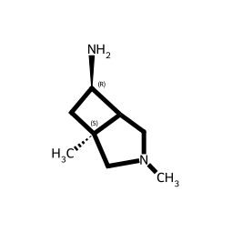 CN1CC2[C@H](N)C[C@]2(C)C1